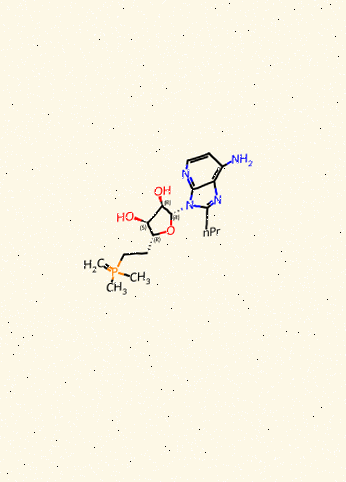 C=P(C)(C)CC[C@H]1O[C@@H](n2c(CCC)nc3c(N)ccnc32)[C@H](O)[C@@H]1O